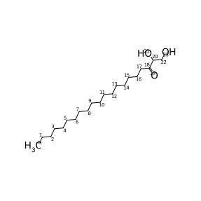 CCCCCCCCCCCCCCCCCCC(=O)C(O)CO